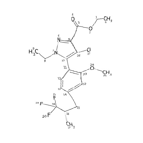 CCOC(=O)c1nn(CC)c(-c2ccc(C[C@H](C)C(F)(F)F)cc2OC)c1Cl